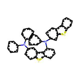 c1ccc(N(c2ccccc2)c2ccc3sc4cccc(N(c5ccccc5)c5ccc6c(c5)sc5ccccc56)c4c3c2)cc1